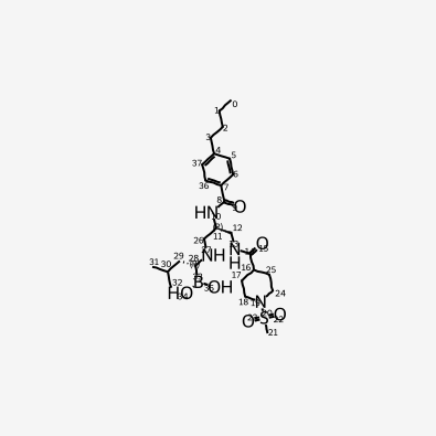 CCCCc1ccc(C(=O)N[C@@H](CNC(=O)C2CCN(S(C)(=O)=O)CC2)CN[C@@H](CC(C)C)B(O)O)cc1